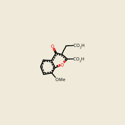 COc1cccc2c(=O)c(CC(=O)O)c(C(=O)O)oc12